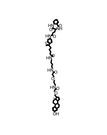 C[C@]12CCC3c4ccc(O)cc4CCC3C1C=CC2COCC(=O)NCCCOCCC(=O)NCCCCCNC(=O)CCCCc1csc2cc(NC(=O)CCC3NC(=O)c4ccccc4NC3=O)ccc12